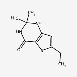 CCc1cc2c(s1)C(=O)NC(C)(C)N2